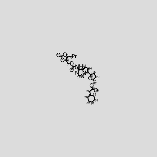 CC(C)c1oc(=O)oc1COC(=O)Nc1ncnn2c([C@H]3CC[C@@H](COC(=O)CC4CCCCC4)O3)ccc12